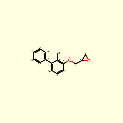 Cc1c(OCC2CO2)cccc1-c1ccccc1